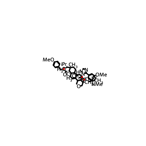 CN[C@@](C)(CO[C@H]1[C@H](n2ncnc2-c2ccnc(OC)c2)C[C@@]23COC[C@@]1(C)[C@@H]2CC[C@H]1C3=CC[C@@]2(C)[C@H](C(=O)OCc3ccc(OC)cc3)[C@@](C)([C@H](C)C(C)C)CC[C@]12C)C(C)C